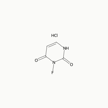 Cl.O=c1cc[nH]c(=O)n1F